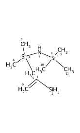 C=C[SiH3].C[Si](C)(C)N[Si](C)(C)C